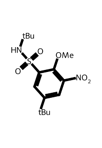 COc1c([N+](=O)[O-])cc(C(C)(C)C)cc1S(=O)(=O)NC(C)(C)C